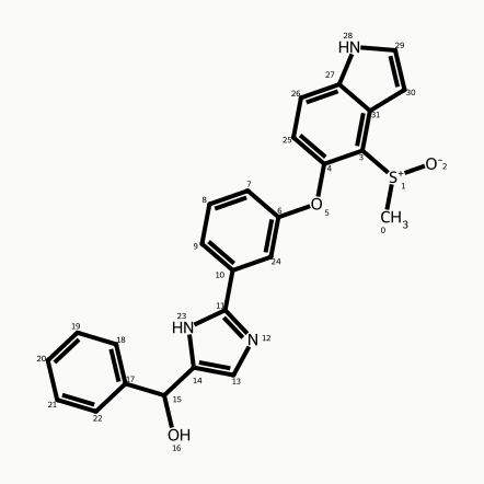 C[S+]([O-])c1c(Oc2cccc(-c3ncc(C(O)c4ccccc4)[nH]3)c2)ccc2[nH]ccc12